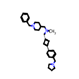 CN(CC1CCN(Cc2ccccc2)CC1)C[C@H]1C[C@H](c2ccc(CN3CCCC3)cc2)C1